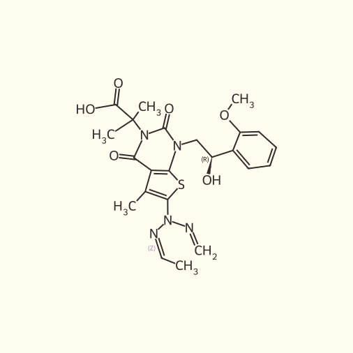 C=NN(/N=C\C)c1sc2c(c1C)c(=O)n(C(C)(C)C(=O)O)c(=O)n2C[C@H](O)c1ccccc1OC